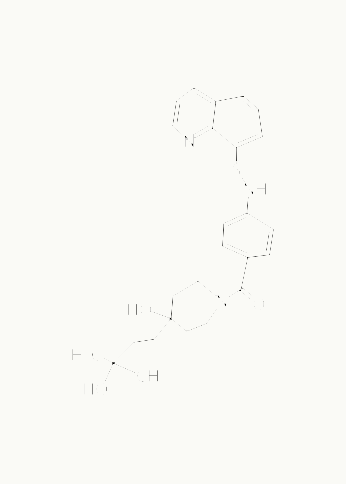 CC(C)(O)CCC1(O)CCN(C(=O)c2ccc(NSc3cccc4cccnc34)cc2)CC1